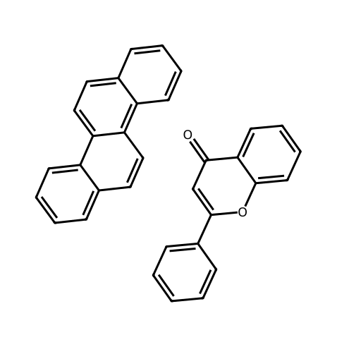 O=c1cc(-c2ccccc2)oc2ccccc12.c1ccc2c(c1)ccc1c3ccccc3ccc21